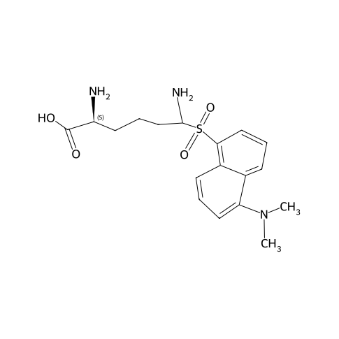 CN(C)c1cccc2c(S(=O)(=O)C(N)CCC[C@H](N)C(=O)O)cccc12